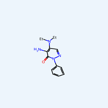 CCN(CC)c1cnn(-c2ccccc2)c(=O)c1N